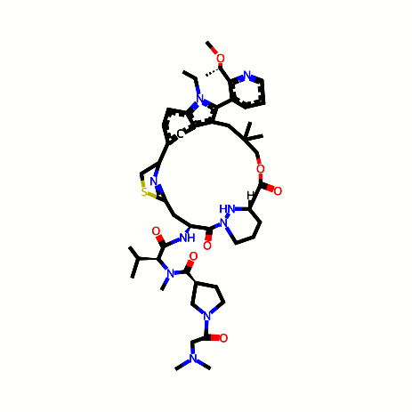 CCn1c(-c2cccnc2[C@H](C)OC)c2c3cc(ccc31)C1CSC(=N1)C[C@H](NC(=O)[C@H](C(C)C)N(C)C(=O)[C@H]1CCN(C(=O)CN(C)C)C1)C(=O)N1CCC[C@H](N1)C(=O)OCC(C)(C)C2